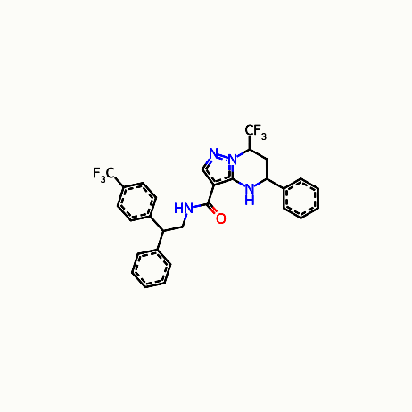 O=C(NCC(c1ccccc1)c1ccc(C(F)(F)F)cc1)c1cnn2c1NC(c1ccccc1)CC2C(F)(F)F